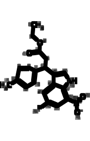 CCOC(=O)CC(c1ccc(C)cc1)c1c[nH]c2c([N+](=O)[O-])cc(F)cc12